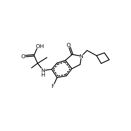 CC(C)(Nc1cc2c(cc1F)CN(CC1CCC1)C2=O)C(=O)O